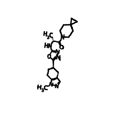 C[C@@H](Nc1nnc([C@@H]2CCc3c(cnn3C)C2)o1)C(=O)N1CCC2(CC1)CC2